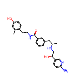 Cc1cc(O)ccc1CCNC(=O)c1cccc(C[C@@H](C)NC[C@H](O)c2ccc(N)nc2)c1